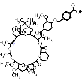 CCC1/C=C(\C)CC(C)CC(OC)C2OC(O)(C(=O)C(=O)N3CCCCC3C(=O)OC(C(C)=CC3CCC(OCc4ccc(C(=O)O)cc4)C(OC)C3)C(C)C(O[Si](C)(C)C(C)(C)C)CC1=O)C(C)CC2OC